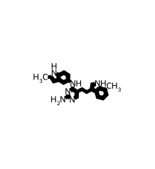 Cc1cc2cc(Nc3nc(N)ncc3CCc3c[nH]c4c(C)cccc34)ccc2[nH]1